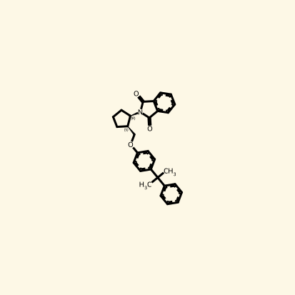 CC(C)(c1ccccc1)c1ccc(OC[C@H]2CCC[C@H]2N2C(=O)c3ccccc3C2=O)cc1